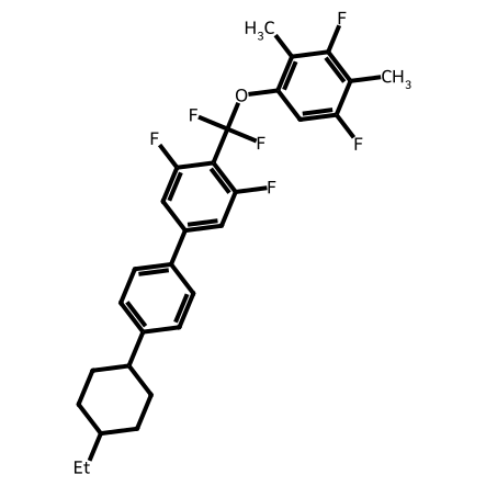 CCC1CCC(c2ccc(-c3cc(F)c(C(F)(F)Oc4cc(F)c(C)c(F)c4C)c(F)c3)cc2)CC1